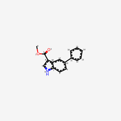 COC(=O)c1c[nH]c2ccc(-c3ccccc3)cc12